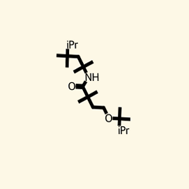 CC(C)C(C)(C)CC(C)(C)NC(=O)C(C)(C)CCOC(C)(C)C(C)C